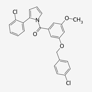 COc1cc(OCc2ccc(Cl)cc2)cc(C(=O)n2cccc2-c2ccccc2Cl)c1